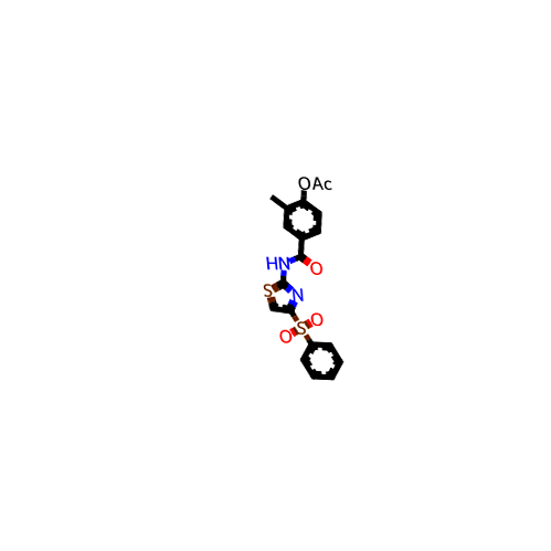 CC(=O)Oc1ccc(C(=O)Nc2nc(S(=O)(=O)c3ccccc3)cs2)cc1C